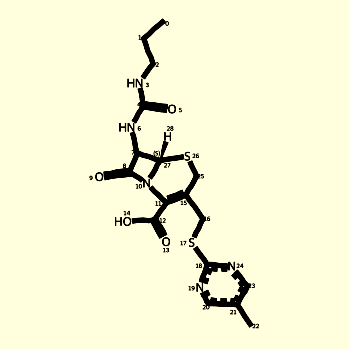 CCCNC(=O)NC1C(=O)N2C(C(=O)O)=C(CSc3ncc(C)cn3)CS[C@@H]12